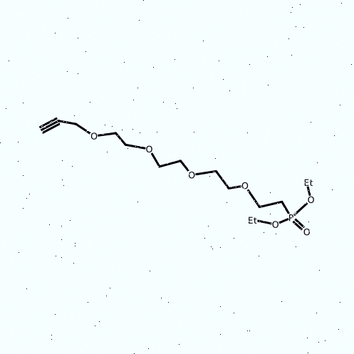 C#CCOCCOCCOCCOCCP(=O)(OCC)OCC